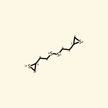 C(CC1CS1)SSCCC1CS1